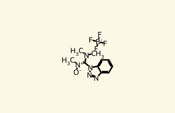 CN(C)/C(n1nnc2ccccc21)=[N+](\C)[O-].F[B-](F)(F)F